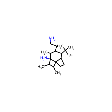 CCCC(C)(C)C1C(CCN)C(C)C2(N)C(C)C(C)C23CCC13